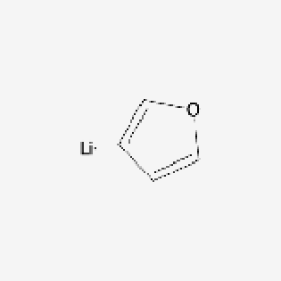 [Li].c1ccoc1